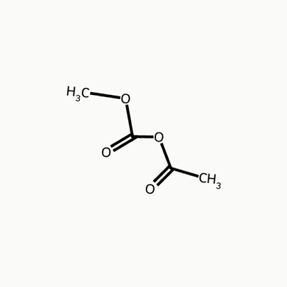 COC(=O)OC(C)=O